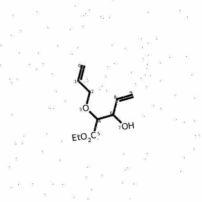 C=CCOC(C(=O)OCC)C(O)C=C